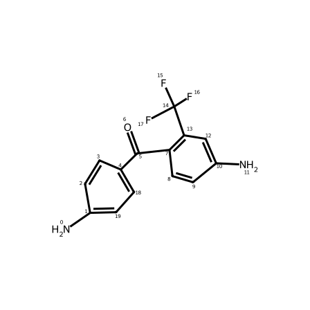 Nc1ccc(C(=O)c2ccc(N)cc2C(F)(F)F)cc1